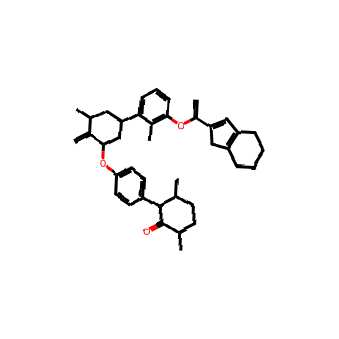 C=C(Oc1cccc(C2CC(C)C(=C)C(Oc3ccc(C4C(=O)C(C)CCC4C)cc3)C2)c1C)C1=CC2=C(CCCC2)C1